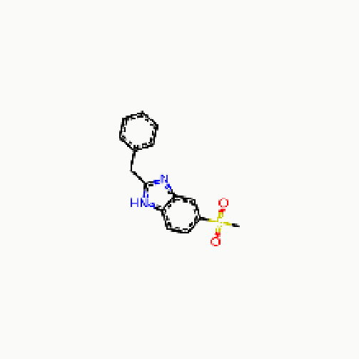 CS(=O)(=O)c1ccc2[nH]c(Cc3ccccc3)nc2c1